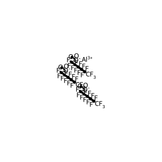 O=S(=O)([O-])C(F)(F)C(F)(F)C(F)(F)C(F)(F)C(F)(F)C(F)(F)F.O=S(=O)([O-])C(F)(F)C(F)(F)C(F)(F)C(F)(F)C(F)(F)C(F)(F)F.O=S(=O)([O-])C(F)(F)C(F)(F)C(F)(F)C(F)(F)C(F)(F)C(F)(F)F.[Al+3]